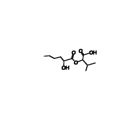 CCCCC(O)C(=O)OC(C(=O)O)C(C)C